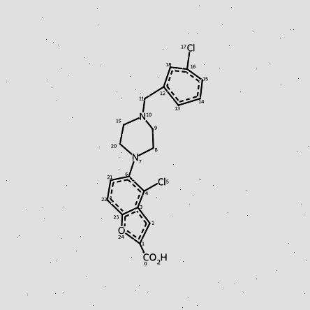 O=C(O)c1cc2c(Cl)c(N3CCN(Cc4cccc(Cl)c4)CC3)ccc2o1